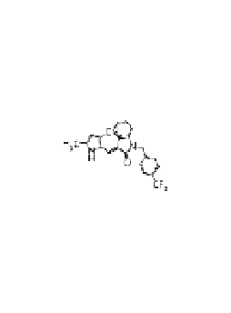 Cc1cc(C)c(C=C2C(=O)N(Cc3ccc(C(F)(F)F)cc3)c3ccccc32)[nH]1